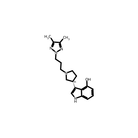 Cc1nn(CCCN2CC[C@H](c3c[nH]c4cccc(O)c34)C2)nc1C